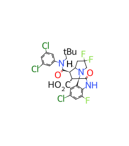 CC(C)(C)CN(C(=O)[C@H]1[C@H]2CC(F)(F)CN2[C@]2(C(=O)Nc3c(F)cc(Cl)cc32)[C@H]1C(=O)O)c1cc(Cl)cc(Cl)c1